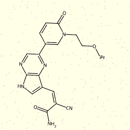 CC(C)OCCn1cc(-c2cnc3[nH]cc(C=C(C#N)C(N)=O)c3n2)ccc1=O